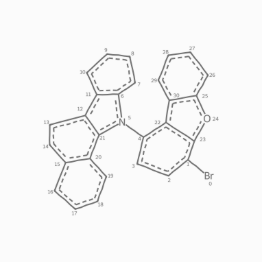 Brc1ccc(-n2c3ccccc3c3ccc4ccccc4c32)c2c1oc1ccccc12